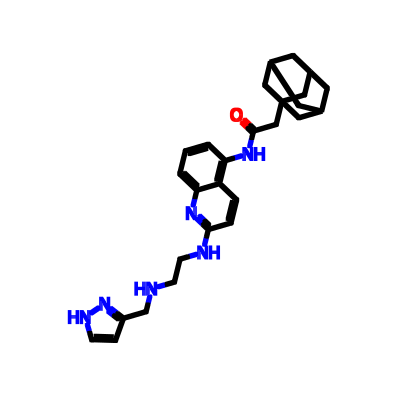 O=C(CC12CC3CC(CC(C3)C1)C2)Nc1cccc2nc(NCCNCc3cc[nH]n3)ccc12